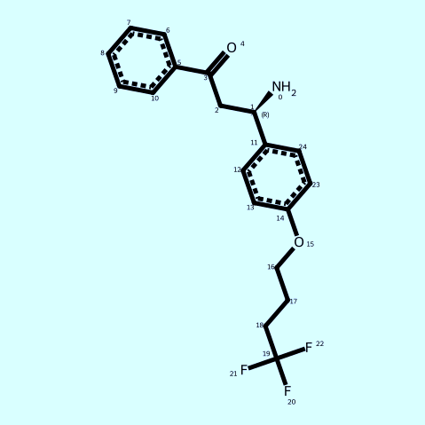 N[C@H](CC(=O)c1ccccc1)c1ccc(OCCCC(F)(F)F)cc1